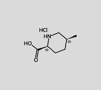 C[C@H]1CC[C@@H](C(=O)O)NC1.Cl